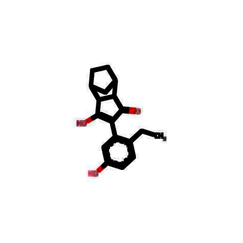 CCc1ccc(O)cc1C1=C(O)C2C3CCC(C3)C2C1=O